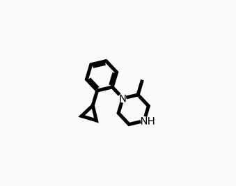 CC1CNCCN1c1ccccc1C1CC1